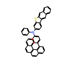 c1ccc(N(c2ccc(-c3cccc4ccc5ccc6ccccc6c5c34)cc2)c2ccc3c(c2)sc2cc4ccccc4cc23)cc1